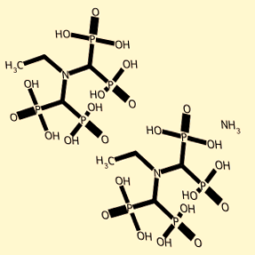 CCN(C(P(=O)(O)O)P(=O)(O)O)C(P(=O)(O)O)P(=O)(O)O.CCN(C(P(=O)(O)O)P(=O)(O)O)C(P(=O)(O)O)P(=O)(O)O.N